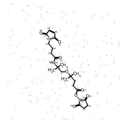 CC(C)(COC(C)(C)CCC(=O)ON1C(=O)CCC1=O)NC(=O)CCCN1C(=O)C=CC1=O